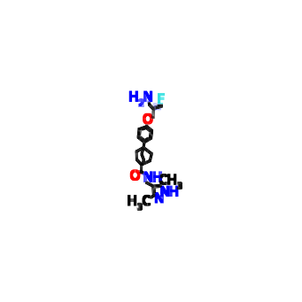 Cc1n[nH]c(C)c1CNC(=O)C12CCC(c3ccc(OC/C(=C/F)CN)cc3)(CC1)CC2